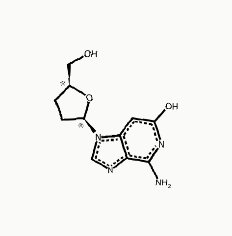 Nc1nc(O)cc2c1ncn2[C@H]1CC[C@@H](CO)O1